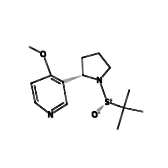 COc1ccncc1[C@@H]1CCCN1[S@@+]([O-])C(C)(C)C